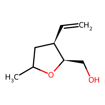 C=C[C@@H]1CC(C)O[C@@H]1CO